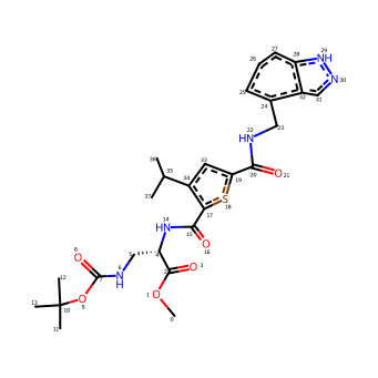 COC(=O)[C@H](CNC(=O)OC(C)(C)C)NC(=O)c1sc(C(=O)NCc2cccc3[nH]ncc23)cc1C(C)C